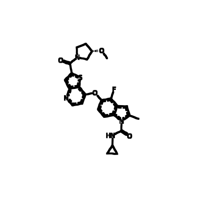 CO[C@H]1CCN(C(=O)c2cc3nccc(Oc4ccc5c(cc(C)n5C(=O)NC5CC5)c4F)c3s2)C1